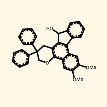 COc1cc2c3c(c4c(c2cc1OC)-c1ccccc1C4O)CC(c1ccccc1)(c1ccccc1)CO3